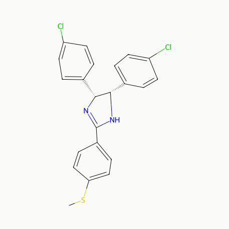 CSc1ccc(C2=N[C@H](c3ccc(Cl)cc3)[C@H](c3ccc(Cl)cc3)N2)cc1